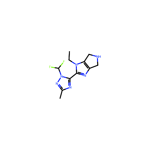 CCn1c(-c2nc(C)nn2C(F)F)nc2c1CNC2